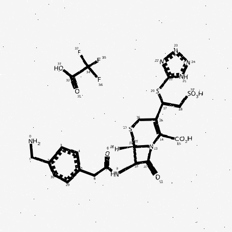 NCc1ccc(CC(=O)NC2C(=O)N3C(C(=O)O)=C(C(CS(=O)(=O)O)Sc4nnn[nH]4)CS[C@@H]23)cc1.O=C(O)C(F)(F)F